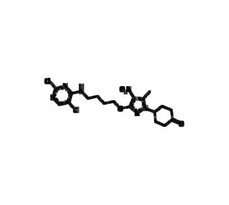 Cc1c([N+](=O)[O-])c(OCCCCNc2nc(Cl)ncc2Cl)nn1C1CCC(=O)CC1